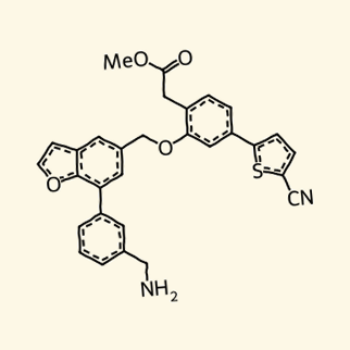 COC(=O)Cc1ccc(-c2ccc(C#N)s2)cc1OCc1cc(-c2cccc(CN)c2)c2occc2c1